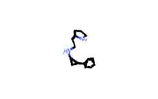 c1ccc(C2CC2NCCC2CCCN2)cc1